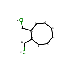 ClCC1CCCCCCC1CCl